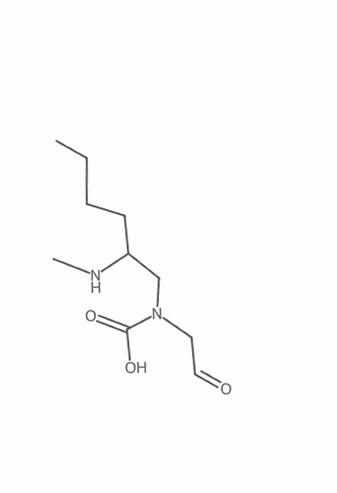 CCCCC(CN(CC=O)C(=O)O)NC